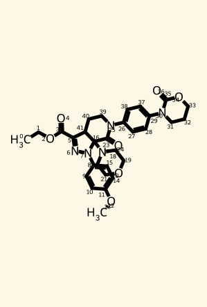 CCOC(=O)C1=NN(c2ccc(OC)cc2)C2(N3CCOCC3)C(=O)N(c3ccc(N4CCCOC4=O)cc3)CCC12